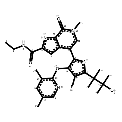 CCNC(=O)c1cc2c(-c3sc(C(C)(C)C(C)(C)O)c(F)c3Oc3ncc(C)cc3C)cn(C)c(=O)c2[nH]1